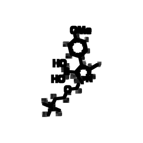 COc1ccc(-c2c(C)nn(COCC[Si](C)(C)C)c2B(O)O)cc1